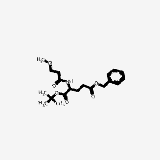 COCCC(=O)NC(CCC(=O)OCc1ccccc1)C(=O)OC(C)(C)C